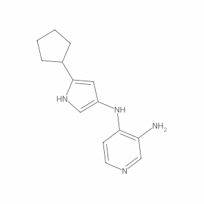 Nc1cnccc1Nc1c[nH]c(C2CCCC2)c1